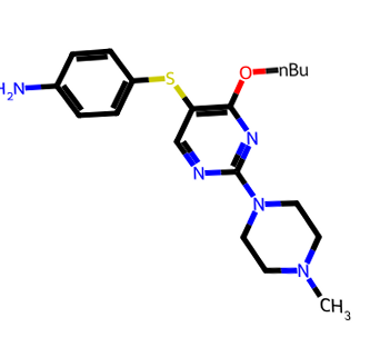 CCCCOc1nc(N2CCN(C)CC2)ncc1Sc1ccc(N)cc1